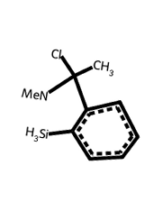 CNC(C)(Cl)c1ccccc1[SiH3]